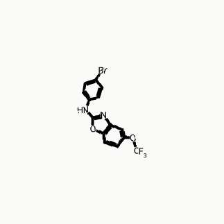 FC(F)(F)Oc1ccc2oc(Nc3ccc(Br)cc3)nc2c1